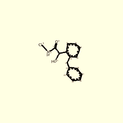 O=C(NCl)C(O)c1ccccc1Cc1ccccc1